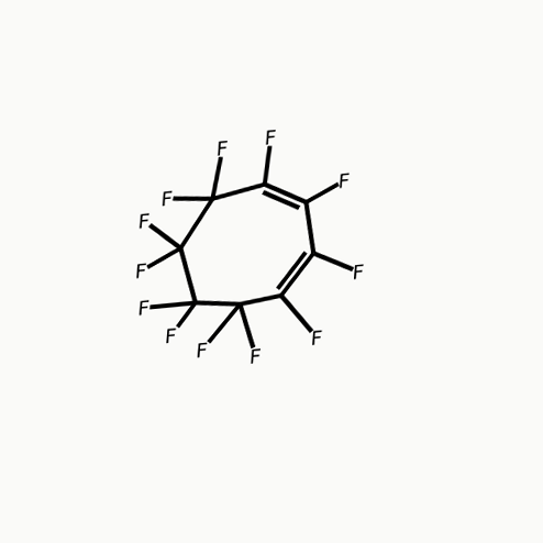 FC1=C(\F)C(F)(F)C(F)(F)C(F)(F)C(F)(F)/C(F)=C\1F